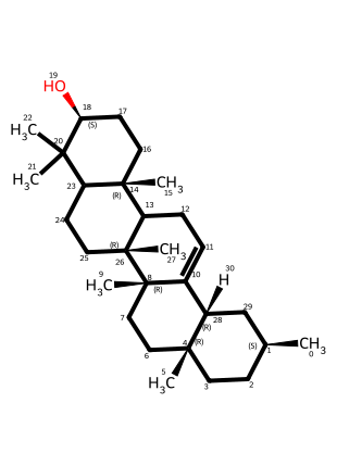 C[C@H]1CC[C@]2(C)CC[C@@]3(C)C(=CCC4[C@@]5(C)CC[C@H](O)C(C)(C)C5CC[C@]43C)[C@@H]2C1